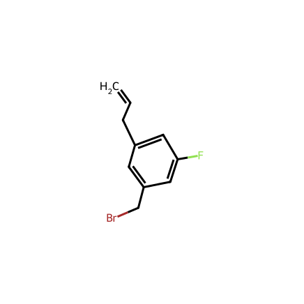 C=CCc1cc(F)cc(CBr)c1